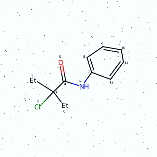 CCC(Cl)(CC)C(=O)Nc1ccccc1